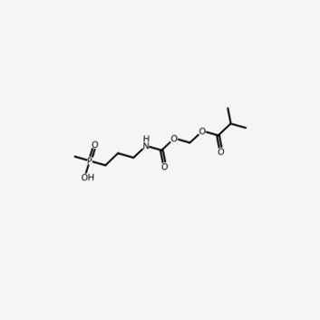 CC(C)C(=O)OCOC(=O)NCCCP(C)(=O)O